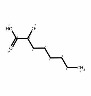 CCCCCCC([O])C(=O)O